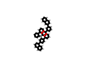 c1ccc(-c2ccccc2N(c2ccc(-c3cccc(-c4ccc5ccccc5c4)c3)cc2)c2cc(-c3cccc4ccccc34)ccc2-c2ccccc2)cc1